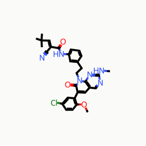 CNc1ncc2cc(-c3cc(Cl)ccc3OC)c(=O)n(CCc3cccc(NC(=O)C(C#N)=CC(C)(C)C)c3)c2n1